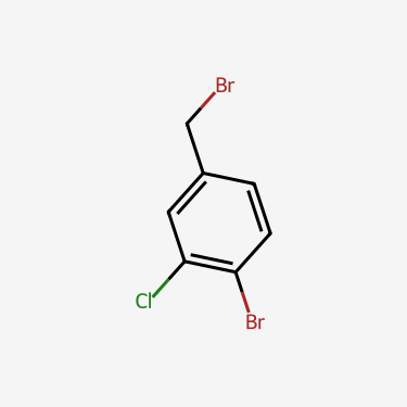 Clc1cc(CBr)ccc1Br